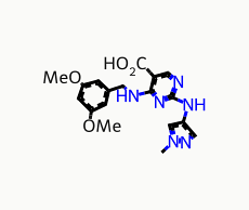 COc1cc(CNc2nc(Nc3cnn(C)c3)ncc2C(=O)O)cc(OC)c1